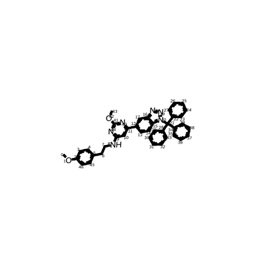 COc1ccc(CCNc2cc(-c3ccc4c(c3)nnn4C(c3ccccc3)(c3ccccc3)c3ccccc3)nc(OC)n2)cc1